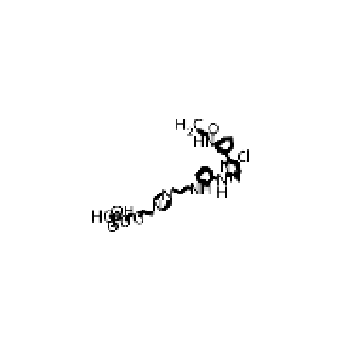 C=CC(=O)NC1=CCCC(c2nc(Nc3cccc(NCCCN4CCN(CCOCOP(=O)(O)O)CC4)c3)ncc2Cl)=C1